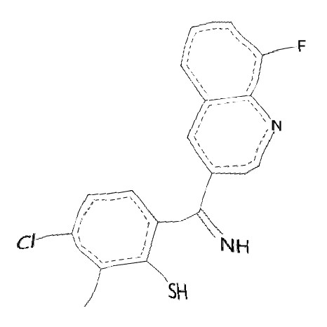 Cc1c(Cl)ccc(C(=N)c2cnc3c(F)cccc3c2)c1S